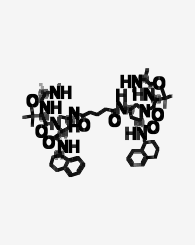 CN[C@@H](C)C(=O)N[C@H](C(=O)N1C[C@@H](NC(=O)CCCC(=O)N[C@H]2C[C@@H](C(=O)N[C@@H]3CCCc4ccccc43)N(C(=O)[C@@H](NC(=O)[C@H](C)NC)C(C)(C)C)C2)C[C@H]1C(=O)NC1CCCc2ccccc21)C(C)(C)C